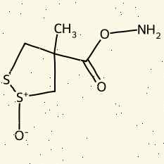 CC1(C(=O)ON)CS[S+]([O-])C1